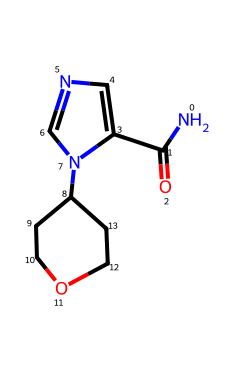 NC(=O)c1cncn1C1CCOCC1